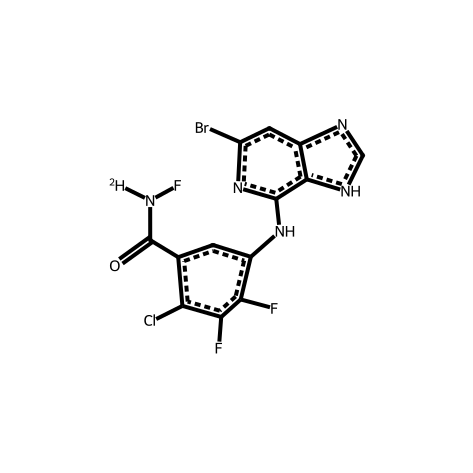 [2H]N(F)C(=O)c1cc(Nc2nc(Br)cc3nc[nH]c23)c(F)c(F)c1Cl